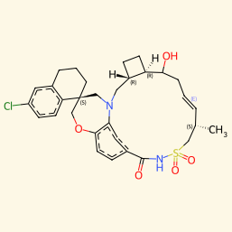 C[C@H]1/C=C/CC(O)[C@@H]2CC[C@H]2CN2C[C@@]3(CCCc4cc(Cl)ccc43)COc3ccc(cc32)C(=O)NS(=O)(=O)C1